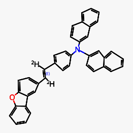 [2H]/C(=C(/[2H])c1ccc2oc3ccccc3c2c1)c1ccc(N(c2ccc3ccccc3c2)c2ccc3ccccc3c2)cc1